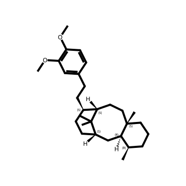 COc1ccc(CC[C@@H]2CC[C@H]3C[C@@H]4[C@H](C)CCC[C@@]4(C)CC[C@@H]2C3(C)C)cc1OC